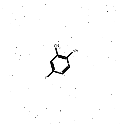 CCCc1ccc(F)cc1C